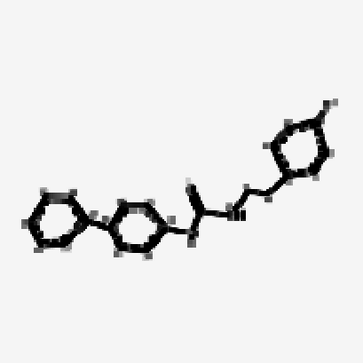 O=C(NCCc1ccc(F)cc1)Oc1ccc(-c2ccccc2)cc1